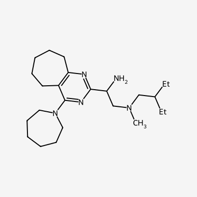 CCC(CC)CN(C)CC(N)c1nc2c(c(N3CCCCCC3)n1)CCCCC2